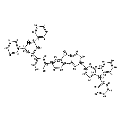 c1ccc(-c2nc(-c3ccccc3)nc(-c3cccc(-c4ccc5c(c4)oc4ccc(-c6ccc7c(c6)c6ccccc6n7-c6ccccc6)cc45)c3)n2)cc1